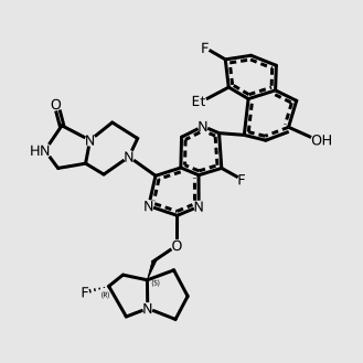 CCc1c(F)ccc2cc(O)cc(-c3ncc4c(N5CCN6C(=O)NCC6C5)nc(OC[C@@]56CCCN5C[C@H](F)C6)nc4c3F)c12